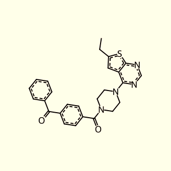 CCc1cc2c(N3CCN(C(=O)c4ccc(C(=O)c5ccccc5)cc4)CC3)ncnc2s1